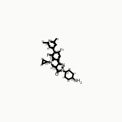 Cc1cc(-c2c(F)cc3c4nn(C5CCC(N)CC5)c(=O)c-4cn(C4CC4)c3c2F)cc(C)n1